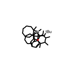 CC1C(C)C(C)C(N(C)C2(C)CCCCCCC23CC(CC(C)(C)C)C2C=CC=CC23)(C2(C)CCCCCC2)C(C)C1C